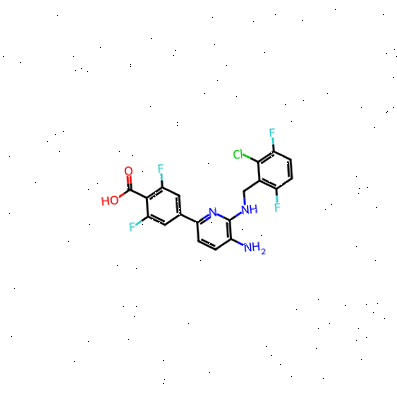 Nc1ccc(-c2cc(F)c(C(=O)O)c(F)c2)nc1NCc1c(F)ccc(F)c1Cl